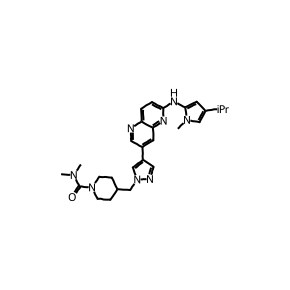 CC(C)c1cc(Nc2ccc3ncc(-c4cnn(CC5CCN(C(=O)N(C)C)CC5)c4)cc3n2)n(C)c1